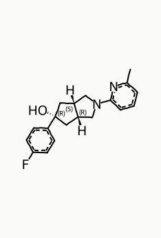 Cc1cccc(N2C[C@@H]3C[C@@](O)(c4ccc(F)cc4)C[C@@H]3C2)n1